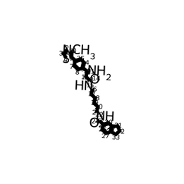 Cc1ncsc1-c1ccc([C@@H](N)CC(=O)NCCCCCCNC(=O)c2ccc3c(c2)CCC3)cc1